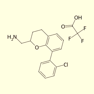 NCC1CCc2cccc(-c3ccccc3Cl)c2O1.O=C(O)C(F)(F)F